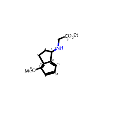 CCOC(=O)CNC1CCc2c(OC)cccc21